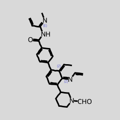 C=C/N=C1/C(C2CCCN(C=O)C2)=CC=C(c2ccc(C(=O)N/C(C=C)=N/C)cc2)/C1=C/C